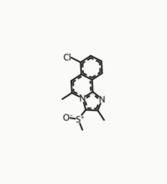 Cc1nc2c3cccc(Cl)c3cc(C)n2c1[S+](C)[O-]